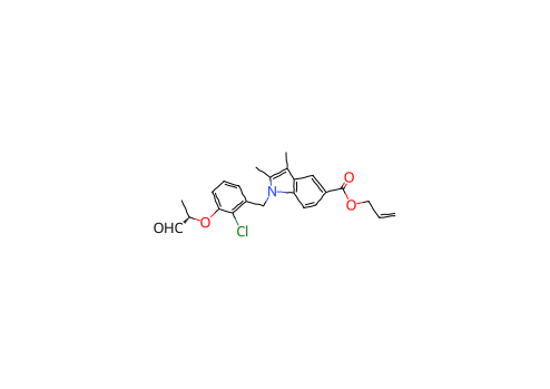 C=CCOC(=O)c1ccc2c(c1)c(C)c(C)n2Cc1cccc(O[C@H](C)C=O)c1Cl